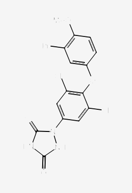 COc1ccc(Oc2c(Cl)cc(-n3[nH]c(=O)[nH]c3=O)cc2Cl)cc1C(C)C